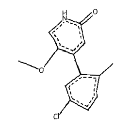 COc1c[nH]c(=O)cc1-c1cc(Cl)ccc1C